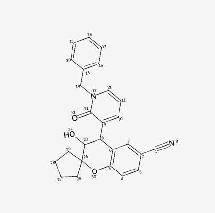 N#Cc1ccc2c(c1)C(c1cccn(Cc3ccccc3)c1=O)C(O)C1(CCCC1)O2